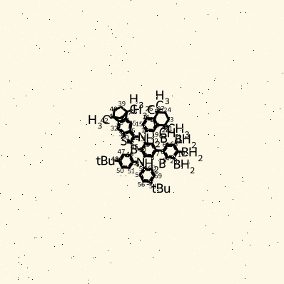 Bc1c(B)c(B)c(-c2cc3c4c(c2)N(c2ccc5c(c2)C(C)(C)CCC5(C)C)c2c(sc5cc6c(cc25)C2(C)CCC6(C)CC2)B4c2cc(C(C)(C)C)ccc2N3c2ccc(C(C)(C)C)cc2)c(B)c1B